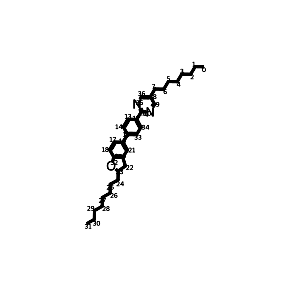 CCCCCCCCc1cnc(-c2ccc(-c3ccc4c(c3)CC(CCCCCCCC)O4)cc2)nc1